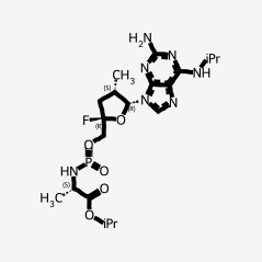 CC(C)Nc1nc(N)nc2c1ncn2[C@@H]1O[C@](F)(CO[PH](=O)N[C@@H](C)C(=O)OC(C)C)C[C@@H]1C